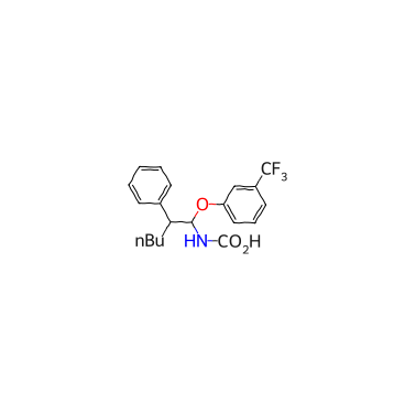 CCCCC(c1ccccc1)C(NC(=O)O)Oc1cccc(C(F)(F)F)c1